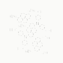 CCCCc1cc(-c2cc(N(c3ccc(C)cc3)c3ccc(C)cc3)c3ccc4c(-c5cc6c(CCCC)cc(C(C)(C)C)c7ccc8c(CCCC)ccc5c8c67)cc(N(c5ccc(C)cc5)c5ccc(C)cc5)c5ccc2c3c45)c2ccc3c(CCCC)cc(C(C)(C)C)c4ccc1c2c34